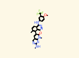 CNc1ncc2cc(-c3c(C)ccc4c(Nc5ccc(OC)c(C(F)(F)F)c5)nncc34)c(=O)n(C)c2n1